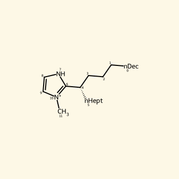 CCCCCCCCCCCCC[C@H](CCCCCCC)c1[nH]cc[n+]1C